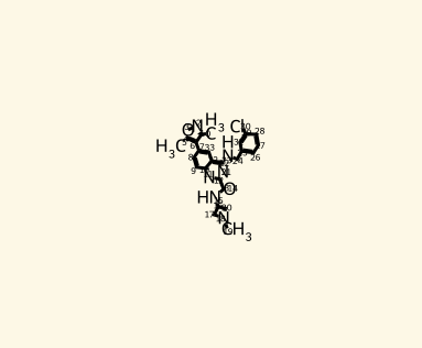 Cc1noc(C)c1-c1ccc2nc(C(=O)NC3CN(C)C3)nc(NCc3cccc(Cl)c3)c2c1